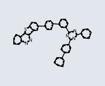 c1ccc(-c2ccc(-c3nc(-c4ccccc4)nc(-c4cccc(-c5ccc(-c6ccc7sc8c9ccccc9nnc8c7c6)cc5)c4)n3)cc2)cc1